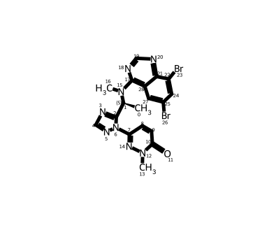 C[C@@H](c1ncnn1-c1ccc(=O)n(C)n1)N(C)c1ncnc2c(Br)cc(Br)cc12